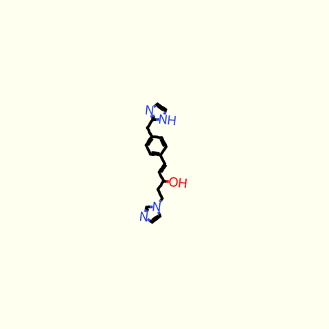 OC(C=Cc1ccc(Cc2ncc[nH]2)cc1)CCn1ccnc1